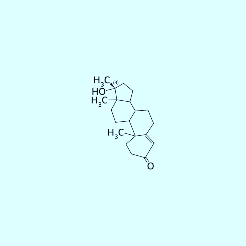 CC12CCC(=O)C=C1CCC1C2CCC2(C)C1CC[C@@]2(C)O